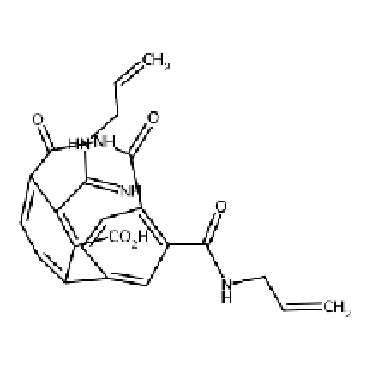 C=CCNC(=N)c1c(C(=O)O)c2ccc1c(=O)[nH]c(=O)c1ccc2cc1C(=O)NCC=C